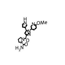 COc1ccc(-n2nc(C(=O)N3CCC[C@H]3C(N)=O)cc2-c2cc[nH]c2)cn1